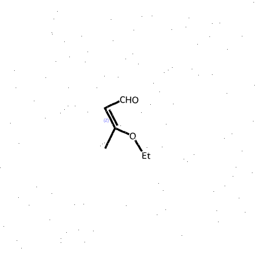 CCO/C(C)=C\C=O